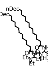 CCCCCCCCCCCCCCCCCCCCCC(=O)NC(CC)N(C)C.CCCCCCCCCCCCCCCCCCCCCC(=O)NC(CC)N(CC)CC